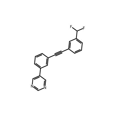 FC(F)c1cccc(C#Cc2cccc(-c3cncnc3)c2)c1